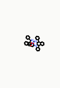 c1ccc(-c2ccc(-n3c4ccccc4c4c5ccccc5c5c6ccccc6n(-c6nc(-c7ccccc7)c7ccccc7n6)c5c43)cc2)cc1